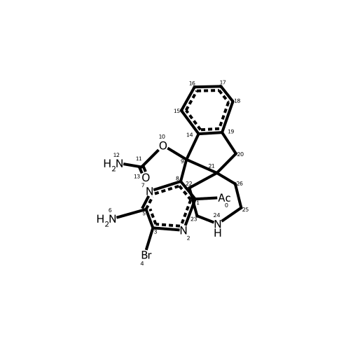 CC(=O)c1nc(Br)c(N)nc1C1(OC(N)=O)c2ccccc2CC12CCNCC2